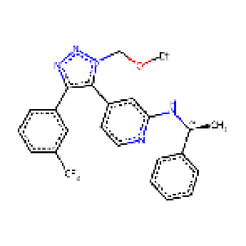 CCOCn1nnc(-c2cccc(C(F)(F)F)c2)c1-c1ccnc(N[C@@H](C)c2ccccc2)c1